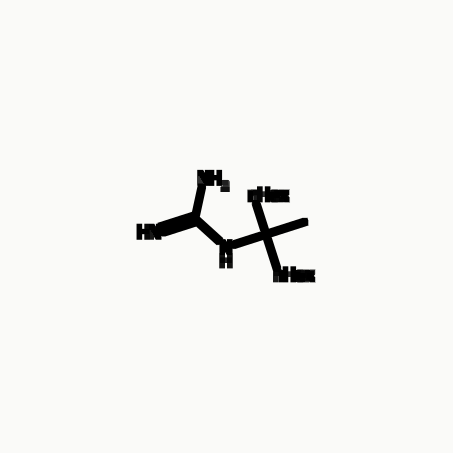 CCCCCCC(C)(CCCCCC)NC(=N)N